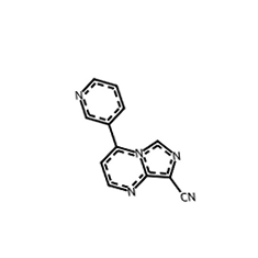 N#Cc1ncn2c(-c3cccnc3)ccnc12